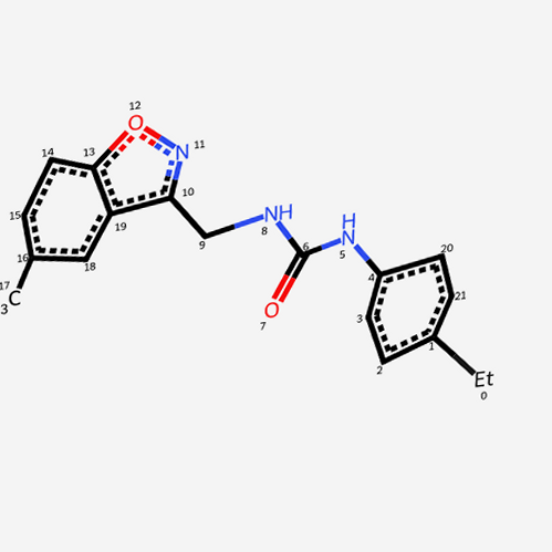 CCc1ccc(NC(=O)NCc2noc3ccc(C)cc23)cc1